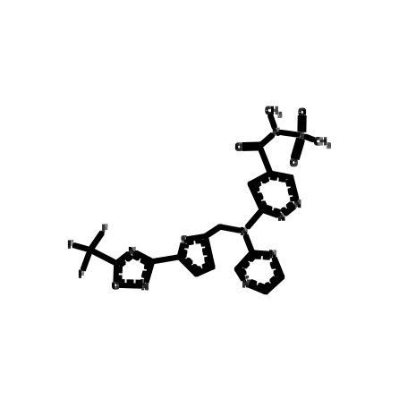 CN(C(=O)c1cnnc(N(Cc2ccc(-c3noc(C(F)(F)F)n3)s2)c2cnccn2)c1)S(C)(=O)=O